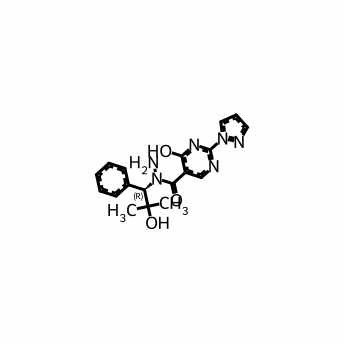 CC(C)(O)[C@@H](c1ccccc1)N(N)C(=O)c1cnc(-n2cccn2)nc1O